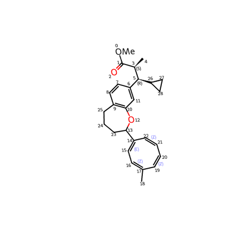 COC(=O)[C@@H](C)[C@H](c1ccc2c(c1)OC(C1=C/C=C(C)\C=C/C=C\1)CCC2)C1CC1